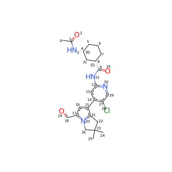 CC(=O)N[C@@H]1CCC[C@H](C(=O)Nc2cc(-c3cc(C=O)n4c3CC(C)(C)C4)c(Cl)cn2)C1